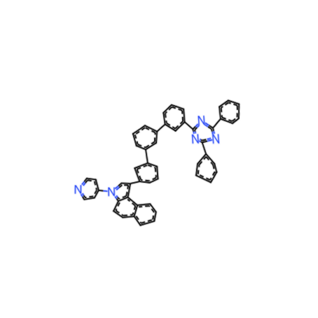 c1ccc(-c2nc(-c3ccccc3)nc(-c3cccc(-c4cccc(-c5cccc(-c6cn(-c7ccncc7)c7ccc8ccccc8c67)c5)c4)c3)n2)cc1